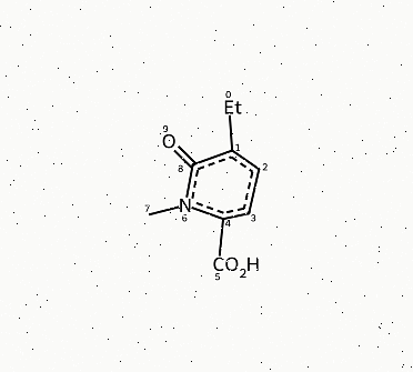 CCc1ccc(C(=O)O)n(C)c1=O